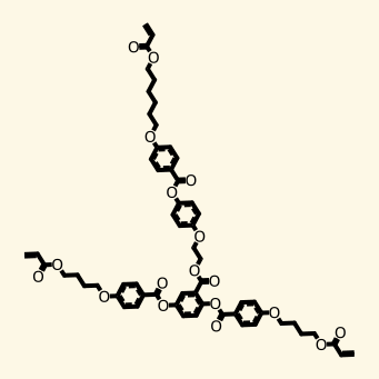 C=CC(=O)OCCCCCCOc1ccc(C(=O)Oc2ccc(OCCOC(=O)c3cc(OC(=O)c4ccc(OCCCCOC(=O)C=C)cc4)ccc3OC(=O)c3ccc(OCCCCOC(=O)C=C)cc3)cc2)cc1